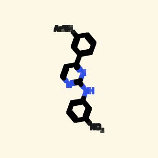 CC(=O)Nc1cccc(-c2ccnc(Nc3cccc([N+](=O)[O-])c3)n2)c1